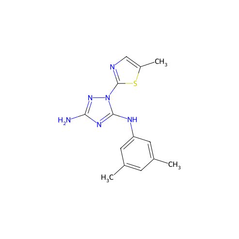 Cc1cc(C)cc(Nc2nc(N)nn2-c2ncc(C)s2)c1